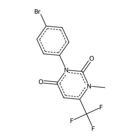 Cn1c(C(F)(F)F)cc(=O)n(-c2ccc(Br)cc2)c1=O